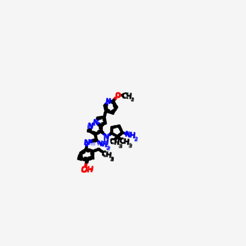 CCc1cc(O)ccc1/N=C(\N)c1cnn2cc(-c3ccc(OC)nc3)cc2c1NC1CCC(N)C1(C)C